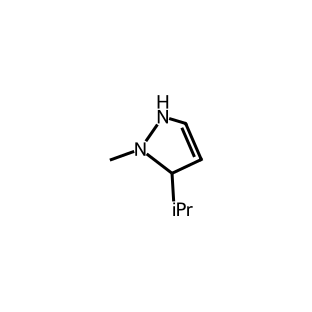 CC(C)C1C=CNN1C